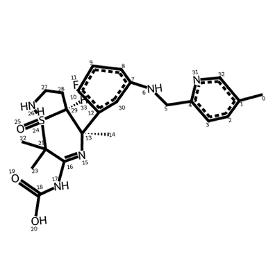 Cc1ccc(CNc2ccc(F)c([C@@]3(C)N=C(NC(=O)O)C(C)(C)[SH]4(=O)NCC[C@@H]34)c2)nc1